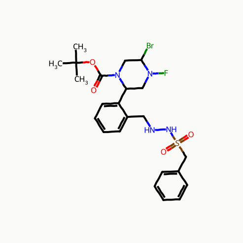 CC(C)(C)OC(=O)N1CC(Br)N(F)CC1c1ccccc1CNNS(=O)(=O)Cc1ccccc1